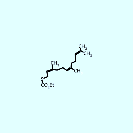 CCOC(=O)SCC=C(C)CCC=C(C)CCC=C(C)C